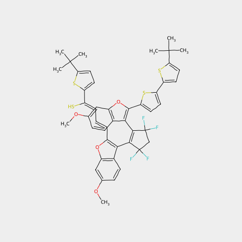 COc1ccc2c(C3=C(c4c(-c5ccc(-c6ccc(C(C)(C)C)s6)s5)oc5cc(OC)ccc45)C(F)(F)CC3(F)F)c(/C=C/C=C(\S)c3ccc(C(C)(C)C)s3)oc2c1